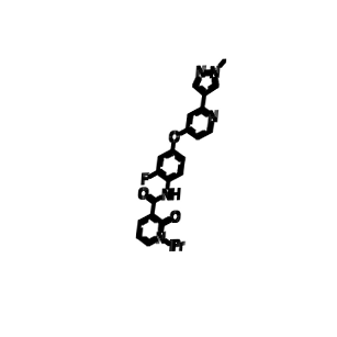 CC(C)n1cccc(C(=O)Nc2ccc(Oc3ccnc(-c4cnn(C)c4)c3)cc2F)c1=O